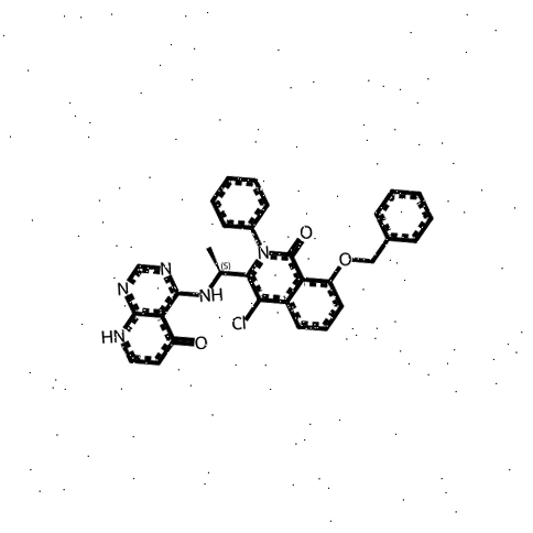 C[C@H](Nc1ncnc2[nH]ccc(=O)c12)c1c(Cl)c2cccc(OCc3ccccc3)c2c(=O)n1-c1ccccc1